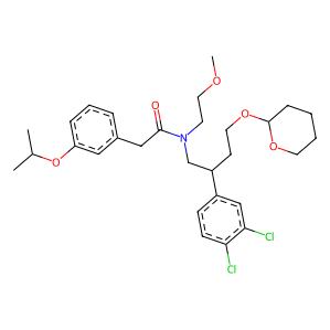 COCCN(CC(CCOC1CCCCO1)c1ccc(Cl)c(Cl)c1)C(=O)Cc1cccc(OC(C)C)c1